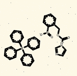 O=C(OCc1ccccc1[N+](=O)[O-])[NH+]1C=CN=C1.c1ccc([B-](c2ccccc2)(c2ccccc2)c2ccccc2)cc1